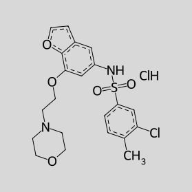 Cc1ccc(S(=O)(=O)Nc2cc(OCCN3CCOCC3)c3occc3c2)cc1Cl.Cl